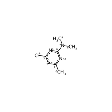 Cc1cc(Cl)nc(N(C)C)n1